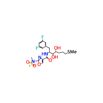 CSCCCC(O)C(O)C(Cc1cc(F)cc(F)c1)NC(=O)c1coc(N(C)S(C)(=O)=O)n1